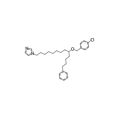 Clc1ccc(COC(CCCCCCCCn2ccnc2)CCCCc2ccccc2)cc1